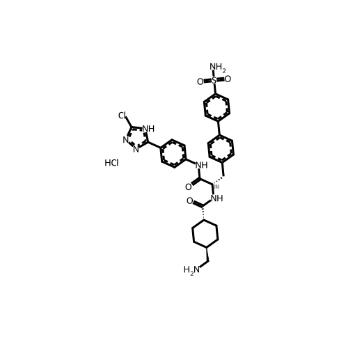 Cl.NC[C@H]1CC[C@H](C(=O)N[C@@H](Cc2ccc(-c3ccc(S(N)(=O)=O)cc3)cc2)C(=O)Nc2ccc(-c3nnc(Cl)[nH]3)cc2)CC1